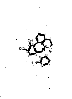 CN1CCc2cccc3c2[C@H]1Cc1ccc(O)c(O)c1-3.Nc1ccccn1